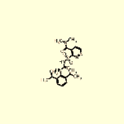 CC(C)c1cccc(C(C)C)c1NC(=O)NS(=O)(=O)c1nnccc1C(=O)N(C)C